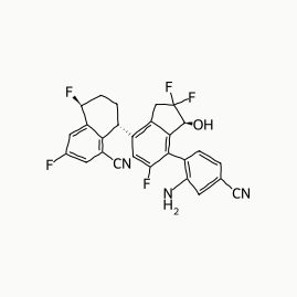 N#Cc1ccc(-c2c(F)cc([C@H]3CC[C@H](F)c4cc(F)cc(C#N)c43)c3c2[C@H](O)C(F)(F)C3)c(N)c1